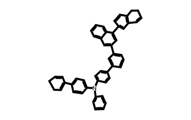 C1=CC(c2ccc(N(c3ccccc3)c3ccc(-c4cccc(-c5cc(-c6ccc7c(c6)C=CCC7)c6ccccc6c5)c4)cc3)cc2)=CCC1